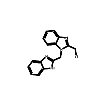 ClCc1nc2ccccc2n1Cc1nc2ccccc2[nH]1